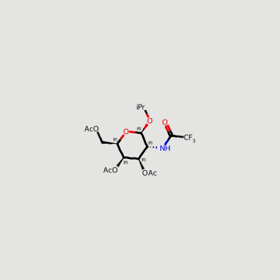 CC(=O)OC[C@H]1O[C@@H](OC(C)C)[C@H](NC(=O)C(F)(F)F)[C@@H](OC(C)=O)[C@H]1OC(C)=O